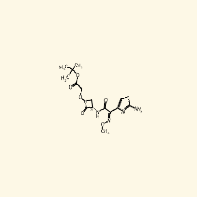 CON=C(C(=O)N[C@H]1CN(OCC(=O)OC(C)(C)C)C1=O)c1csc(N)n1